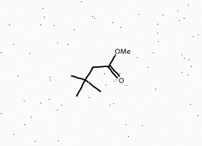 [CH]OC(=O)CC(C)(C)C